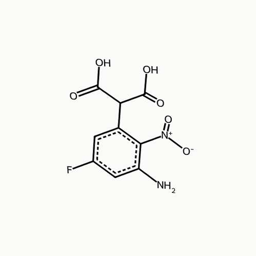 Nc1cc(F)cc(C(C(=O)O)C(=O)O)c1[N+](=O)[O-]